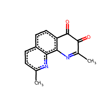 CC1=Nc2c(ccc3ccc(C)nc23)C(=O)C1=O